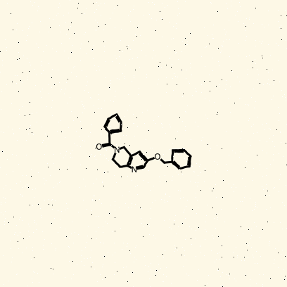 O=C(c1ccccc1)N1CCc2ncc(OCc3ccccc3)cc2C1